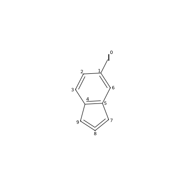 Ic1ccc2c(c1)C=C=C2